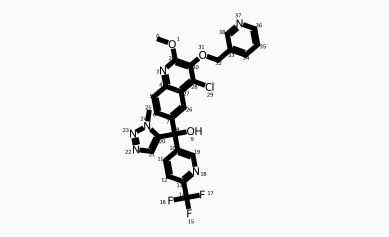 COc1nc2ccc(C(O)(c3ccc(C(F)(F)F)nc3)c3cnnn3C)cc2c(Cl)c1OCc1cccnc1